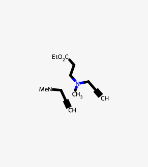 C#CCN(C)CCC(=O)OCC.C#CCNC